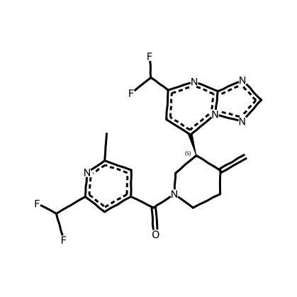 C=C1CCN(C(=O)c2cc(C)nc(C(F)F)c2)C[C@H]1c1cc(C(F)F)nc2ncnn12